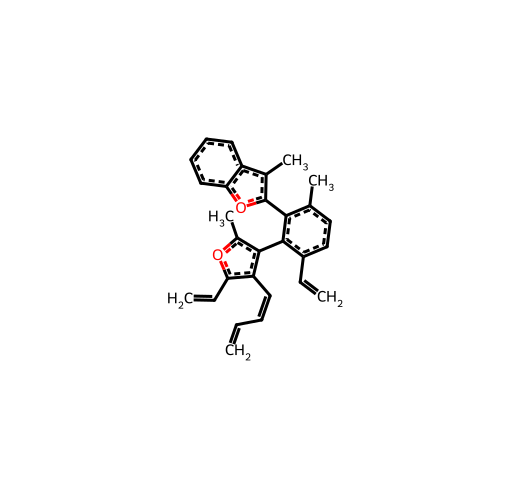 C=C/C=C\c1c(C=C)oc(C)c1-c1c(C=C)ccc(C)c1-c1oc2ccccc2c1C